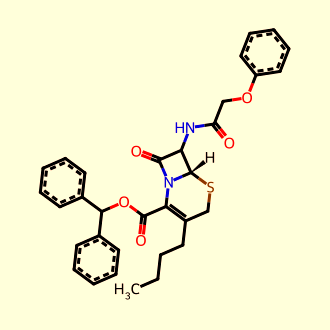 CCCCC1=C(C(=O)OC(c2ccccc2)c2ccccc2)N2C(=O)C(NC(=O)COc3ccccc3)[C@@H]2SC1